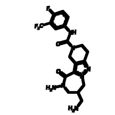 NCC1CN(N)C(=O)c2c3c(nn2C1)CCN(C(=O)Nc1ccc(F)c(C(F)(F)F)c1)C3